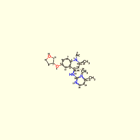 CC(=O)N1c2ccc(OC3CCOC3)cc2[C@H](Nc2nccc(C)n2)[C@@H](C)[C@@H]1C